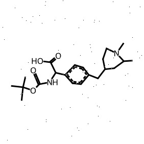 CC1CC(Cc2ccc(C(NC(=O)OC(C)(C)C)C(=O)O)cc2)CCN1C